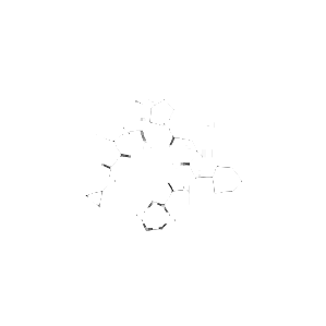 CCCC(NC(=O)[C@@H]1[C@@H](I)CCN1C(=O)[C@@H](NC(=O)[C@@H](NC(=O)c1cnccn1)C1CCCCC1)C(C)CC)C(=O)C(=O)NC1CC1